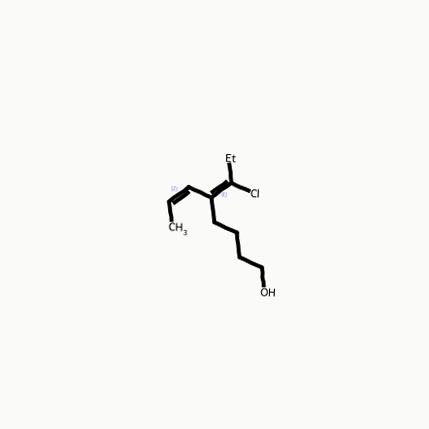 C/C=C\C(CCCCO)=C(\Cl)CC